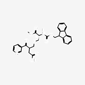 COC(=O)[C@H](CSCC(CC(=O)O)C(=O)c1cccnc1)NC(=O)OCC1c2ccccc2-c2ccccc21